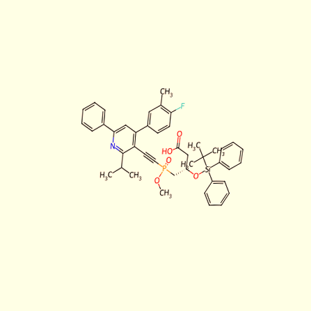 COP(=O)(C#Cc1c(-c2ccc(F)c(C)c2)cc(-c2ccccc2)nc1C(C)C)C[C@H](CC(=O)O)O[Si](c1ccccc1)(c1ccccc1)C(C)(C)C